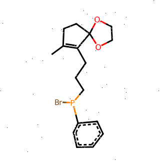 CC1=C(CCCP(Br)c2ccccc2)C2(CC1)OCCO2